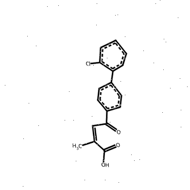 CC(=CC(=O)c1ccc(-c2ccccc2Cl)cc1)C(=O)O